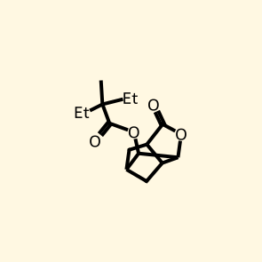 CCC(C)(CC)C(=O)OC1C2CC3C(=O)OC1C3C2